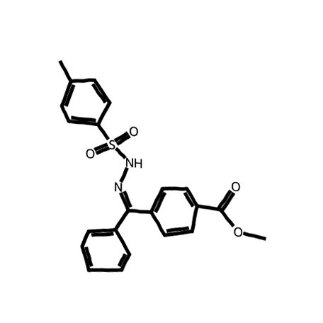 COC(=O)c1ccc(/C(=N\NS(=O)(=O)c2ccc(C)cc2)c2ccccc2)cc1